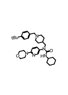 CC(C)(C)c1ccc(CN2CCC(CN(C(=O)NC3CCCCC3)c3ccc(N4CCOCC4)nc3)CC2)cc1